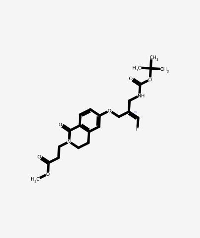 COC(=O)CCN1CCc2cc(OC/C(=C\F)CNC(=O)OC(C)(C)C)ccc2C1=O